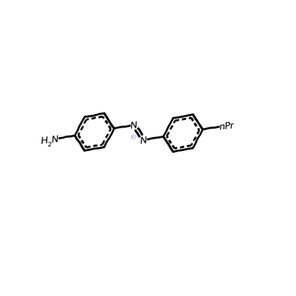 CCCc1ccc(/N=N/c2ccc(N)cc2)cc1